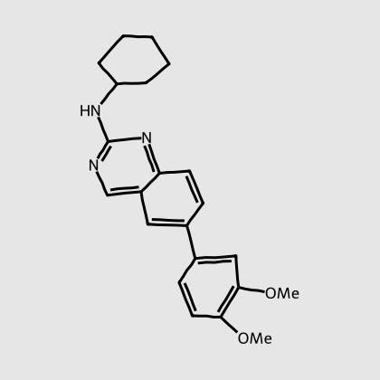 COc1ccc(-c2ccc3nc(NC4CCCCC4)ncc3c2)cc1OC